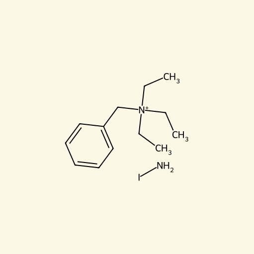 CC[N+](CC)(CC)Cc1ccccc1.NI